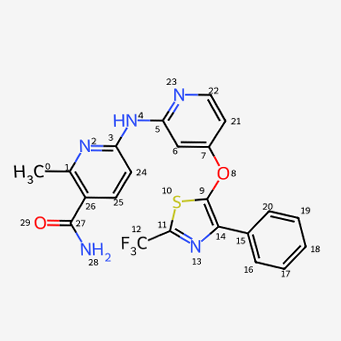 Cc1nc(Nc2cc(Oc3sc(C(F)(F)F)nc3-c3ccccc3)ccn2)ccc1C(N)=O